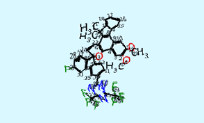 COc1cc2c3c(c4c(c2cc1OC)-c1ccccc1C4(C)C)C=CC(c1ccc(F)cc1)(c1ccc(-c2nc(C(F)(F)F)nc(C(F)(F)F)n2)cc1)O3